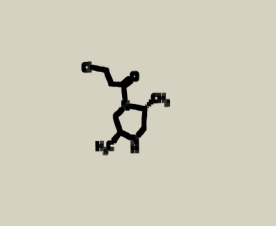 C[C@@H]1CN[C@@H](C)CN1C(=O)CCCl